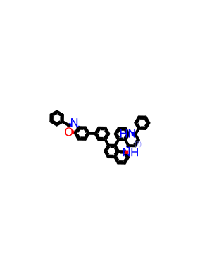 N=C(/C=C\C(=N)c1ccccc1-c1c(-c2cccc(-c3ccc4oc(-c5ccccc5)nc4c3)c2)ccc2ccccc12)c1ccccc1